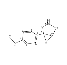 CCc1ccc(C23CNCC2C3)cc1